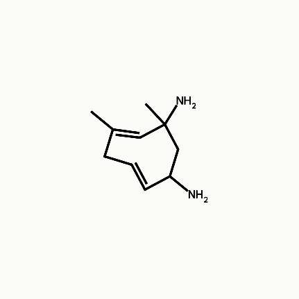 C/C1=C\C(C)(N)CC(N)/C=C/C1